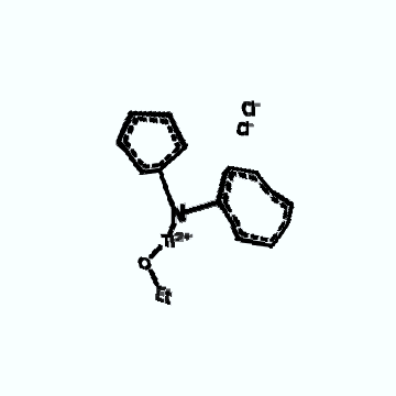 CC[O][Ti+2][N](c1ccccc1)c1ccccc1.[Cl-].[Cl-]